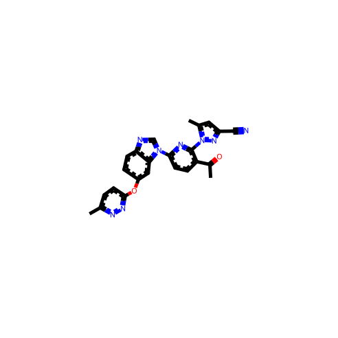 CC(=O)c1ccc(-n2cnc3ccc(Oc4ccc(C)nn4)cc32)nc1-n1nc(C#N)cc1C